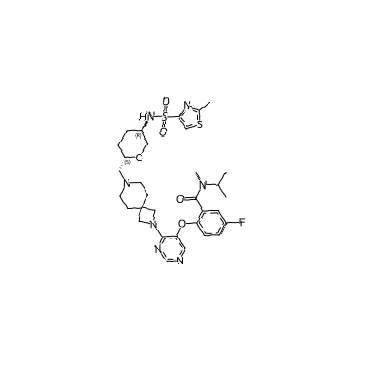 Cc1nc(S(=O)(=O)N[C@@H]2CC[C@@H](CN3CCC4(CC3)CN(c3ncncc3Oc3ccc(F)cc3C(=O)N(C)C(C)C)C4)OC2)cs1